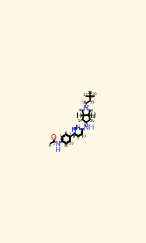 CC(=O)Nc1ccc(-c2ccc(N[C@@H]3C[C@@H]4CN(CCC(C)(C)C)C[C@@H]4C3)nn2)cc1